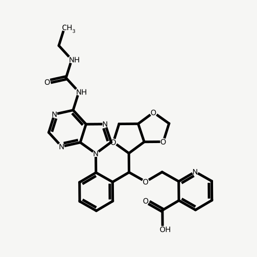 CCNC(=O)Nc1ncnc2c1ncn2-c1ccccc1C(OCc1ncccc1C(=O)O)C1OCC2OCOC21